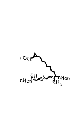 CCCCCCCCCC(CCCCCCCC1CC1CCCCCCCC)N(C)CCSSCCN(C)CCCCCCCCC